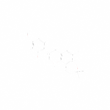 CCOc1ccc(C2COc3c(cc(C)c4c3CCC(C)(C)O4)C2)c(O)c1